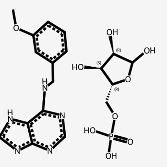 COc1cccc(CNc2ncnc3nc[nH]c23)c1.O=P(O)(O)OC[C@H]1OC(O)[C@H](O)[C@@H]1O